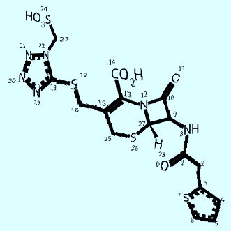 O=C(Cc1cccs1)NC1C(=O)N2C(C(=O)O)=C(CSc3nnnn3CS(=O)(=O)O)CS[C@@H]12